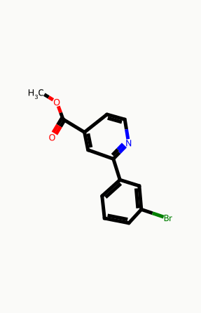 COC(=O)c1ccnc(-c2cccc(Br)c2)c1